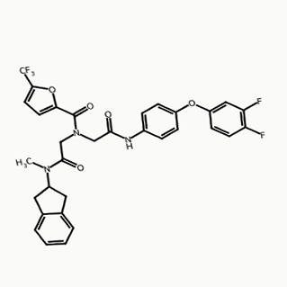 CN(C(=O)CN(CC(=O)Nc1ccc(Oc2ccc(F)c(F)c2)cc1)C(=O)c1ccc(C(F)(F)F)o1)C1Cc2ccccc2C1